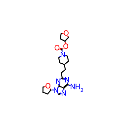 Nc1nc(CCC2CCN(C(=O)OC3CCOC3)CC2)nc2c1ncn2[C@H]1CCCO1